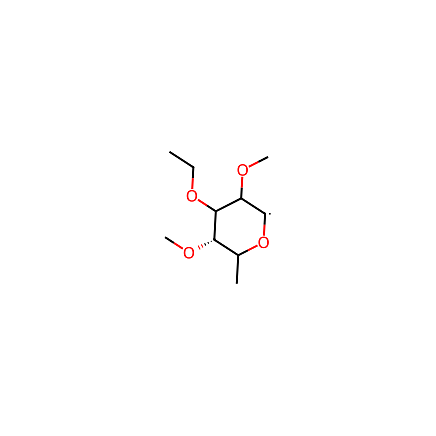 CCOC1C(OC)[CH]OC(C)[C@@H]1OC